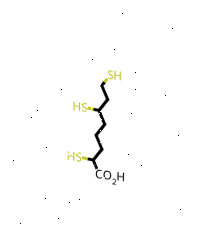 O=C(O)C(S)CCCC(S)CCS